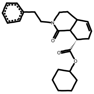 O=C(OC1CCCCC1)[C@H]1CC=CC2CCN(CCc3ccccc3)C(=O)C21